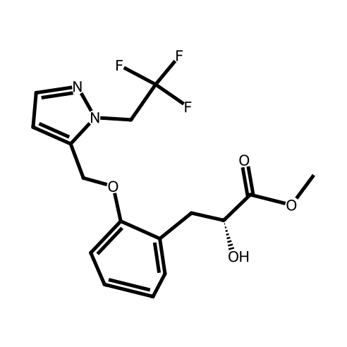 COC(=O)[C@H](O)Cc1ccccc1OCc1ccnn1CC(F)(F)F